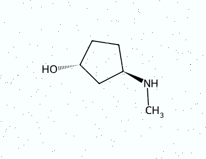 CN[C@@H]1CC[C@@H](O)C1